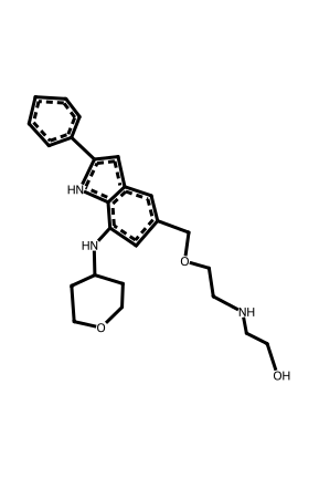 OCCNCCOCc1cc(NC2CCOCC2)c2[nH]c(-c3ccccc3)cc2c1